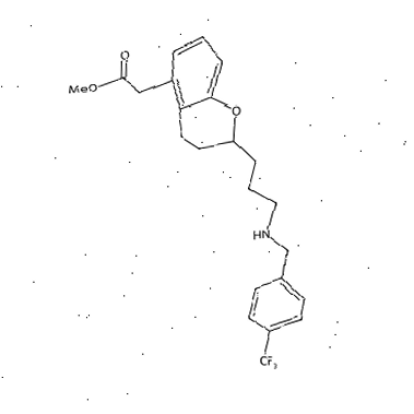 COC(=O)Cc1cccc2c1CCC(CCCNCc1ccc(C(F)(F)F)cc1)O2